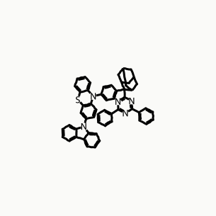 c1ccc(-c2nc(-c3ccccc3)nc(C3(c4ccc(N5c6ccccc6Sc6cc(-n7c8ccccc8c8ccccc87)ccc65)cc4)C4CC5CC(C4)CC3C5)n2)cc1